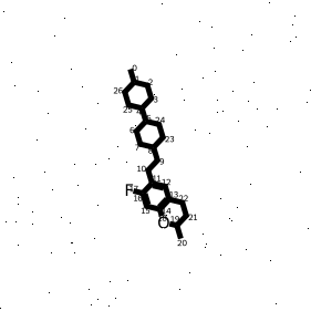 CC1CCC(C2CCC(CCc3cc4c(cc3F)OC(C)CC4)CC2)CC1